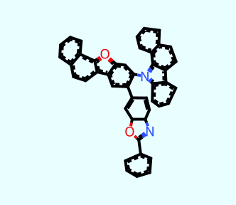 C1=CC2N=C(c3ccccc3)OC2C=C1c1cc2c(cc1-n1c3ccccc3c3ccc4ccccc4c31)oc1c3ccccc3ccc21